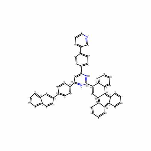 c1cncc(-c2ccc(-c3cc(-c4ccc(-c5ccc6ccccc6c5)cc4)nc(-c4cc5c6ccccc6c6ccccc6c5c5ccccc45)n3)cc2)c1